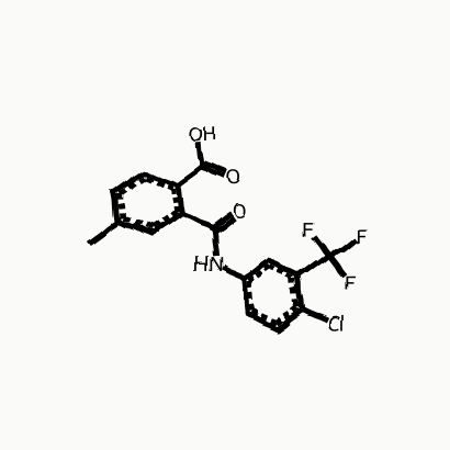 Cc1ccc(C(=O)O)c(C(=O)Nc2ccc(Cl)c(C(F)(F)F)c2)c1